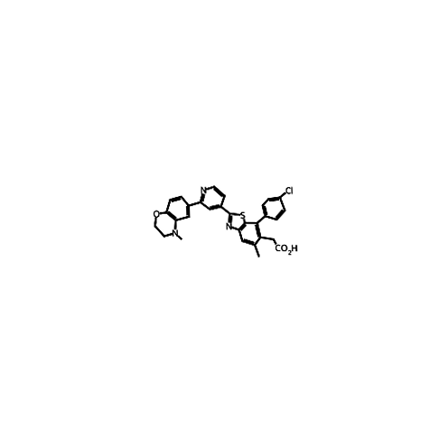 Cc1cc2nc(-c3ccnc(-c4ccc5c(c4)N(C)CCO5)c3)sc2c(-c2ccc(Cl)cc2)c1CC(=O)O